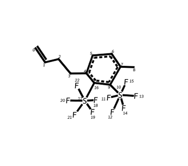 C=CCCc1ccc(C)c(S(F)(F)(F)(F)F)c1S(F)(F)(F)(F)F